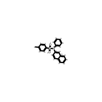 Cc1ccc(S(=O)(=O)N(c2ccccc2)c2ccc3ccccc3c2)cc1